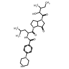 CCC(C)C(O)C(=O)N1CC(=O)C2C1CCN2C(=O)C(CC(C)C)NC(=O)c1ccc(N2CCNCC2)cc1